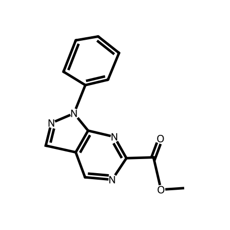 COC(=O)c1ncc2cnn(-c3ccccc3)c2n1